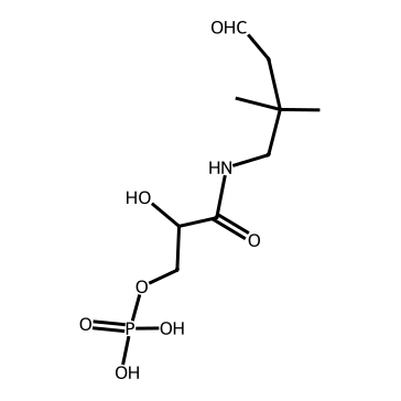 CC(C)(CC=O)CNC(=O)C(O)COP(=O)(O)O